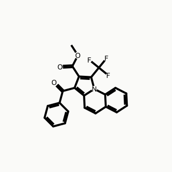 COC(=O)c1c(C(=O)c2ccccc2)c2ccc3ccccc3n2c1C(F)(F)F